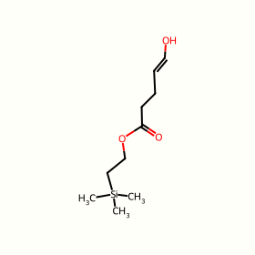 C[Si](C)(C)CCOC(=O)CCC=CO